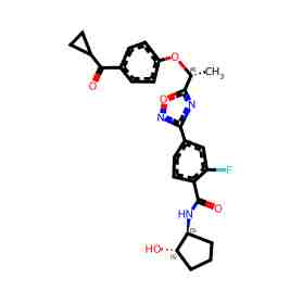 C[C@@H](Oc1ccc(C(=O)C2CC2)cc1)c1nc(-c2ccc(C(=O)N[C@H]3CCC[C@@H]3O)c(F)c2)no1